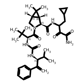 C=C(c1ccccc1)[C@@H](NC(=O)N[C@H](C(=O)N1C[C@H]2[C@@H]([C@H]1C(=O)NC(CC1CC1)C(=O)C(N)=O)C2(C)C)C(C)(C)C)C(C)C